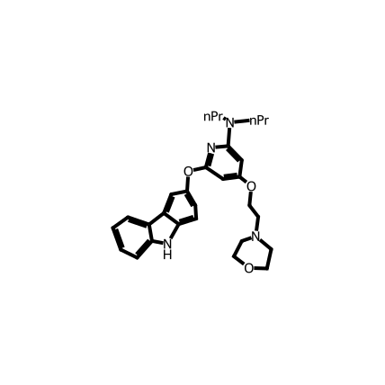 CCCN(CCC)c1cc(OCCN2CCOCC2)cc(Oc2ccc3[nH]c4ccccc4c3c2)n1